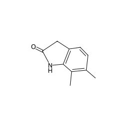 Cc1ccc2c(c1C)NC(=O)C2